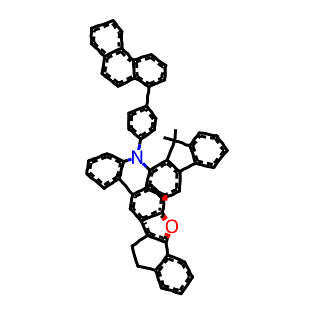 CC1(C)c2ccccc2-c2cccc(N(c3ccc(-c4cccc5c4ccc4ccccc45)cc3)c3ccccc3-c3ccc4oc5c(c4c3)CCc3ccccc3-5)c21